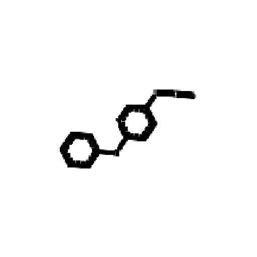 S=C=Nc1ccc(Sc2ccccc2)nc1